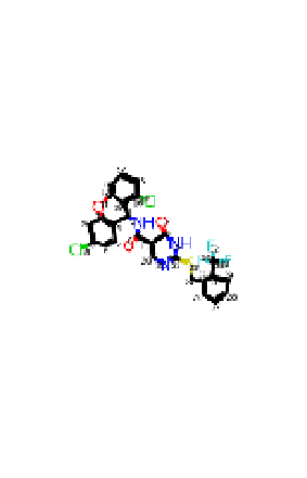 O=C(NC1c2ccc(Cl)cc2Oc2cccc(Cl)c21)c1cnc(SCc2ccccc2C(F)(F)F)[nH]c1=O